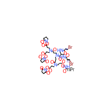 CCCC(=O)NOC(=O)CCN(CCC(=O)ON1C(=O)CCC1=O)C(=O)CCN(CCC(=O)N(CCC(=O)ON1CCCC1=O)CCC(=O)ON1C(=O)CCC1=O)C(=O)C(CNC(=O)/C=C/Br)CNC(=O)/C=C/Br